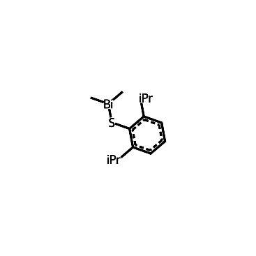 CC(C)c1cccc(C(C)C)c1[S][Bi]([CH3])[CH3]